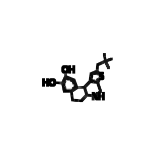 CC(C)(C)Cc1cc2c(s1)CNC1CCc3cc(O)c(O)cc3C21